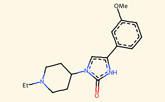 CCN1CCC(n2cc(-c3cccc(OC)c3)[nH]c2=O)CC1